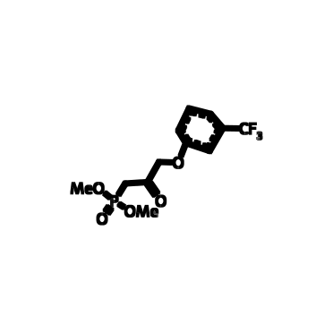 COP(=O)(CC(=O)COc1cccc(C(F)(F)F)c1)OC